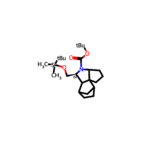 CC(C)(C)OC(=O)N1C2CCCC23C2CCC(C2)C3[C@H]1CO[Si](C)(C)C(C)(C)C